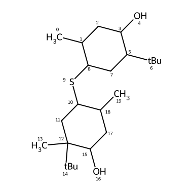 CC1CC(O)C(C(C)(C)C)CC1SC1CC(C)(C(C)(C)C)C(O)CC1C